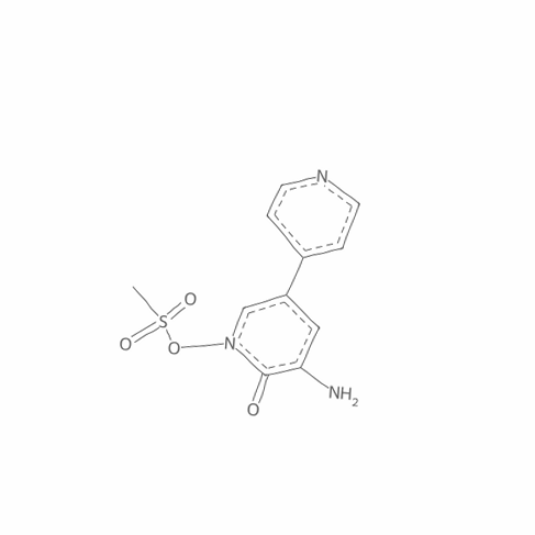 CS(=O)(=O)On1cc(-c2ccncc2)cc(N)c1=O